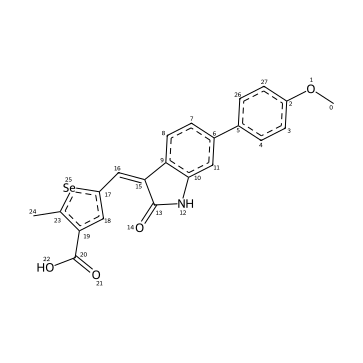 COc1ccc(-c2ccc3c(c2)NC(=O)C3=Cc2cc(C(=O)O)c(C)[se]2)cc1